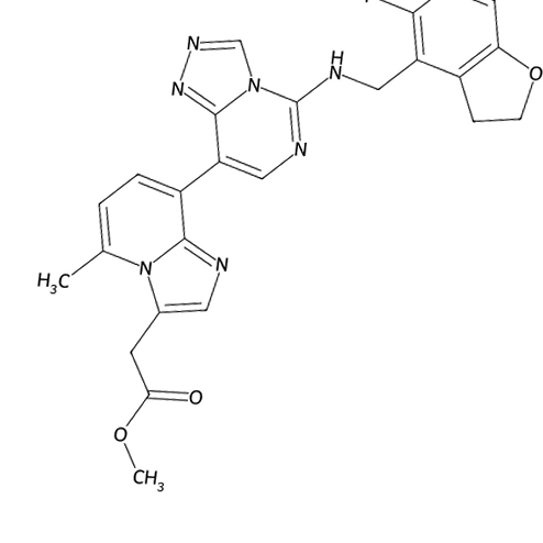 COC(=O)Cc1cnc2c(-c3cnc(NCc4c(F)ccc5c4CCO5)n4cnnc34)ccc(C)n12